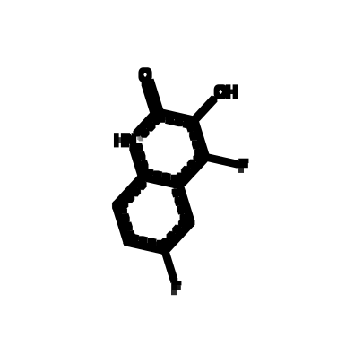 O=c1[nH]c2ccc(F)cc2c(F)c1O